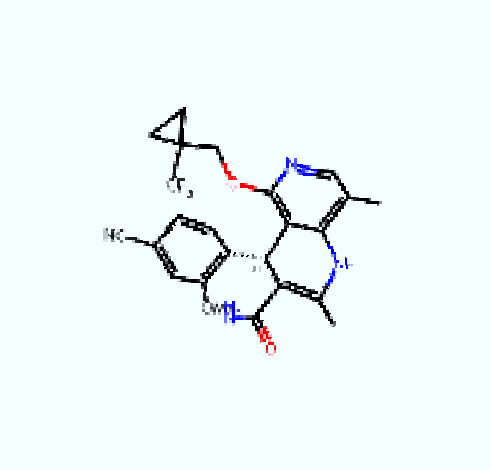 COc1cc(C#N)ccc1[C@H]1C(C(N)=O)=C(C)Nc2c(C)cnc(OCC3(C(F)(F)F)CC3)c21